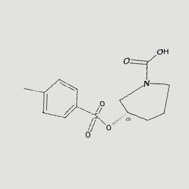 Cc1ccc(S(=O)(=O)O[C@H]2CCCN(C(=O)O)C2)cc1